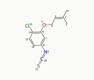 CC(C)=CCOc1cc(N=C=S)ccc1Cl